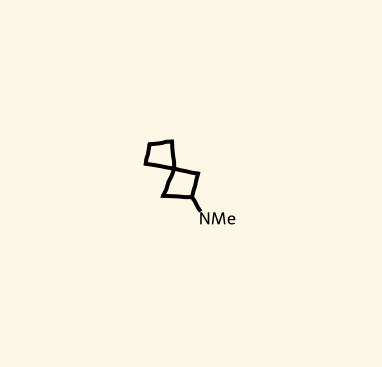 CNC1CC2(CCC2)C1